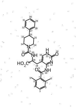 Cc1cccc(C)c1C(=O)Nc1nc(=O)[nH]cc1CC(NC(=O)N1CCC(c2ccccc2)CC1)C(=O)O